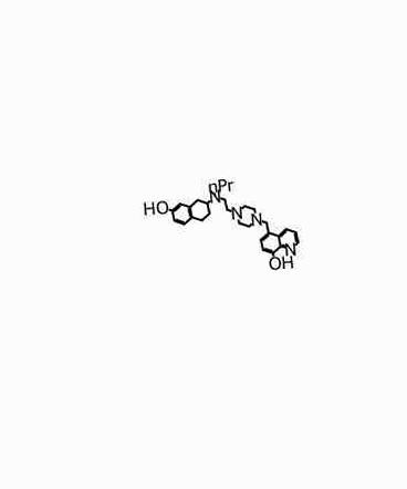 CCCN(CCN1CCN(Cc2ccc(O)c3ncccc23)CC1)C1CCc2ccc(O)cc2C1